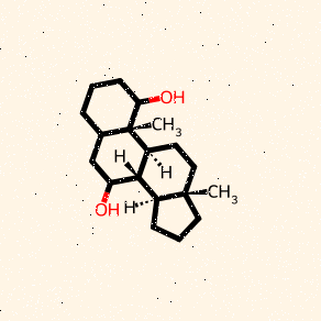 C[C@@]12CCC[C@H]1[C@@H]1C(O)CC3CCCC(O)[C@]3(C)[C@H]1CC2